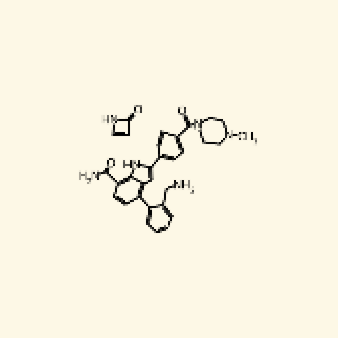 CN1CCN(C(=O)c2ccc(-c3cc4c(-c5ccccc5CN)ccc(C(N)=O)c4[nH]3)cc2)CC1.O=C1C=CN1